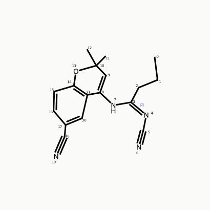 CCC/C(=N/C#N)NC1=CC(C)(C)Oc2ccc(C#N)cc21